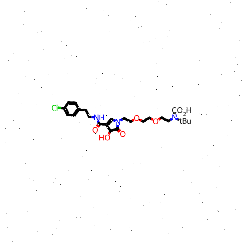 CC(C)(C)N(CCOCCOCCN1C=C(C(=O)NCCc2ccc(Cl)cc2)C(O)C1=O)C(=O)O